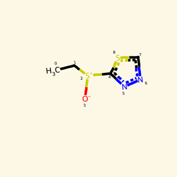 CC[S+]([O-])c1nncs1